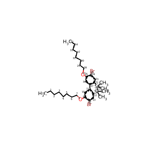 CCCCCCCCOc1cc2c(cc1Br)[Si](C)(C)[Si](C)(C)c1cc(Br)c(OCCCCCCCC)cc1-2